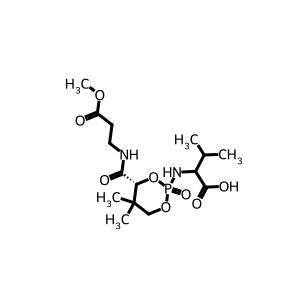 COC(=O)CCNC(=O)[C@@H]1OP(=O)(NC(C(=O)O)C(C)C)OCC1(C)C